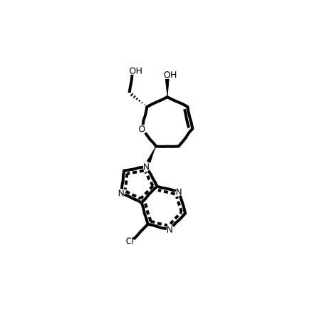 OC[C@H]1O[C@H](n2cnc3c(Cl)ncnc32)CC=C[C@@H]1O